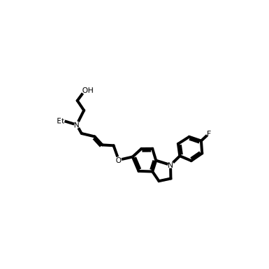 CCN(CC=CCOc1ccc2c(c1)CCN2c1ccc(F)cc1)CCO